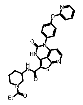 CCC(=O)N1CCCC(NC(=O)c2sc3nccc4c3c2NC(=O)N4c2ccc(Oc3ccccn3)cc2)C1